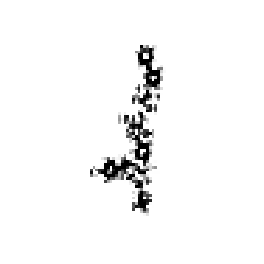 O=C(NCC[C@H](NC(=O)c1ccc(Nc2nc(NC3(c4ccc(Cl)cc4)CC3)nc(OCC(F)(F)F)n2)cc1)C(=O)O)C(=O)Nc1cccc(-c2ccncc2)c1